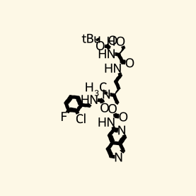 CN(C(=O)NCc1cccc(F)c1Cl)[C@@H](CCCNC(=O)[C@H](CO)NC(=O)OC(C)(C)C)COC(=O)Nc1cc2ccncc2cn1